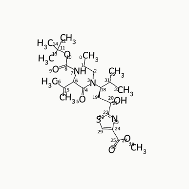 CCCN(C(=O)C(NC(=O)OC(C)(C)C)C(C)C)[C@H](C[C@@H](O)c1nc(C(=O)OC)cs1)C(C)C